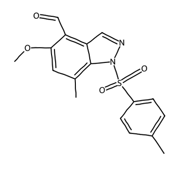 COc1cc(C)c2c(cnn2S(=O)(=O)c2ccc(C)cc2)c1C=O